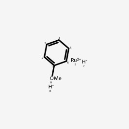 COc1ccccc1.[H-].[H-].[Ru+2]